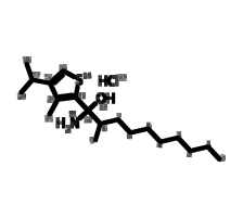 CCCCCCCCC(C)C(N)(O)c1scc(C(C)C)c1C.Cl